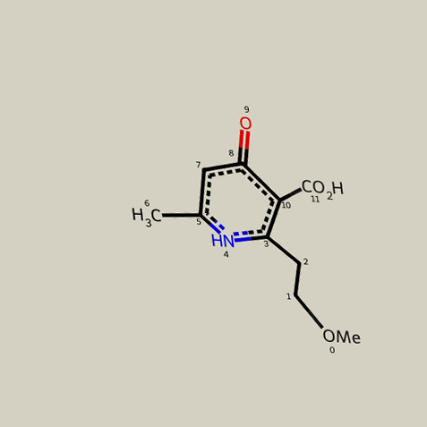 COCCc1[nH]c(C)cc(=O)c1C(=O)O